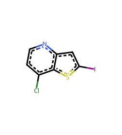 Clc1ccnc2cc(I)sc12